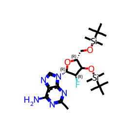 Cc1nc(N)c2ncn([C@@H]3O[C@H](CO[Si](C)(C)C(C)(C)C)C(O[Si](C)(C)C(C)(C)C)[C@H]3F)c2n1